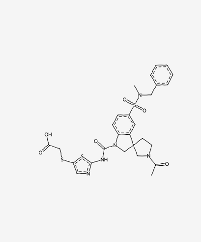 CC(=O)N1CCC2(C1)CN(C(=O)Nc1ncc(SCC(=O)O)s1)c1ccc(S(=O)(=O)N(C)Cc3ccccc3)cc12